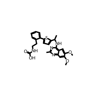 COc1cc2nc(C)nc(NC(C)c3ccc(-c4ccccc4CCNC(=O)O)s3)c2cc1OC